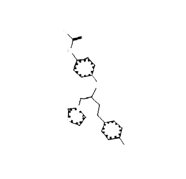 NC(=O)Nc1ccc(SC(CCc2ccc(Cl)cc2)Cn2ccnc2)cc1